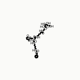 O=C(CCCCCNC(=O)CN(CC(=O)NCCCCCNC(=O)OCc1ccccc1)CC(=O)ON1C(=O)CCC1=O)NCCO[C@H]1O[C@H](CO)[C@@H](O)[C@H](O)[C@@H]1O